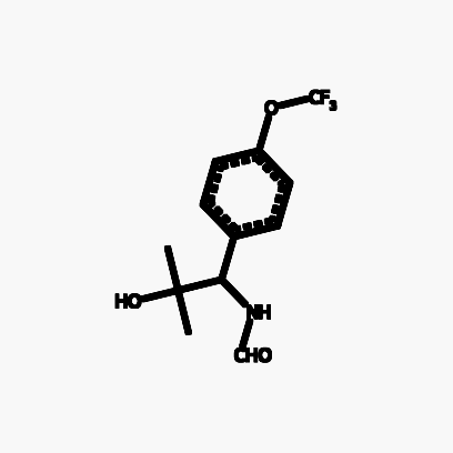 CC(C)(O)C(NC=O)c1ccc(OC(F)(F)F)cc1